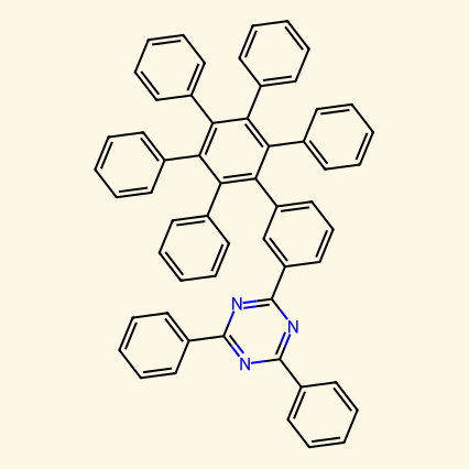 c1ccc(-c2nc(-c3ccccc3)nc(-c3cccc(-c4c(-c5ccccc5)c(-c5ccccc5)c(-c5ccccc5)c(-c5ccccc5)c4-c4ccccc4)c3)n2)cc1